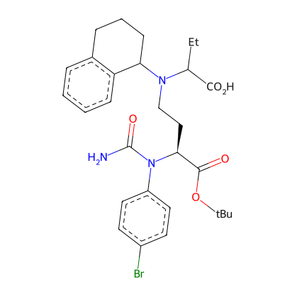 CCC(C(=O)O)N(CC[C@@H](C(=O)OC(C)(C)C)N(C(N)=O)c1ccc(Br)cc1)C1CCCc2ccccc21